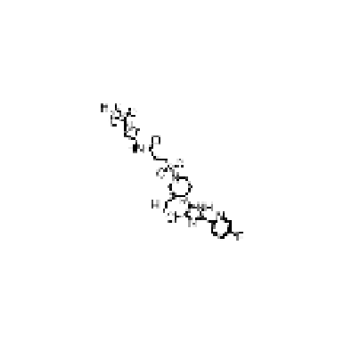 C[C@H]1CN(S(=O)(=O)C=CC(=O)NC2CN(S(C)(=O)=O)C2)CC[C@H]1c1[nH]c(-c2ccc(F)cn2)nc1Cl